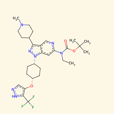 CCN(C(=O)OC(C)(C)C)c1cc2c(cn1)c(C1CCN(C)CC1)nn2[C@H]1CC[C@@H](Oc2cn[nH]c2C(F)(F)F)CC1